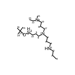 CCCNCCCN(CCC[SiH2]OC(C)(C)C)CCCN(C)CC